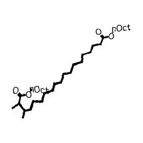 CCCCCCCCOC(=O)CCCCCCCCCCCCCCCC(C)C(C)C(=O)OCCCCCCCC